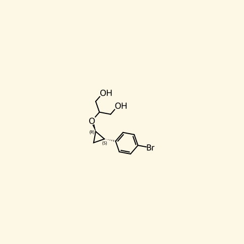 OCC(CO)O[C@@H]1C[C@H]1c1ccc(Br)cc1